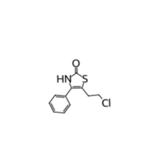 O=c1[nH]c(-c2ccccc2)c(CCCl)s1